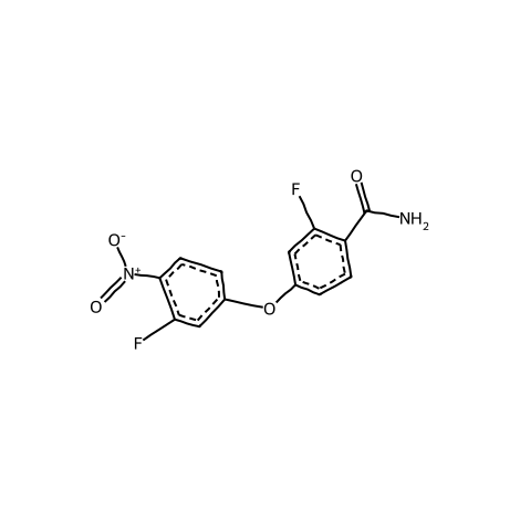 NC(=O)c1ccc(Oc2ccc([N+](=O)[O-])c(F)c2)cc1F